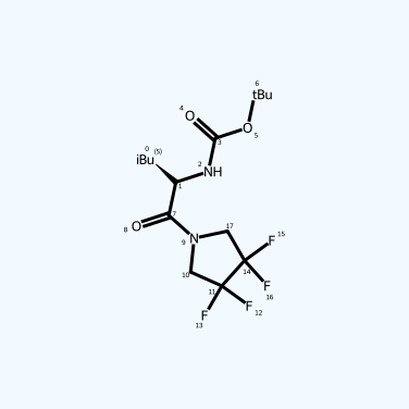 CC[C@H](C)C(NC(=O)OC(C)(C)C)C(=O)N1CC(F)(F)C(F)(F)C1